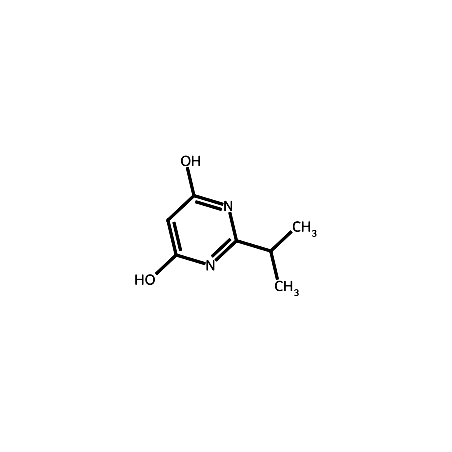 CC(C)c1nc(O)cc(O)n1